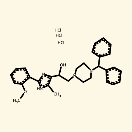 COc1ccccc1-c1nc(C(O)CN2CCN(C(c3ccccc3)c3ccccc3)CC2)c(C)[nH]1.Cl.Cl.Cl